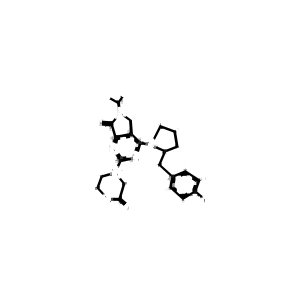 CC(C)N1Cc2c(nc(N3CCNC(=O)C3)nc2N2CCCC2Cc2ccc(Cl)cc2)C1=O